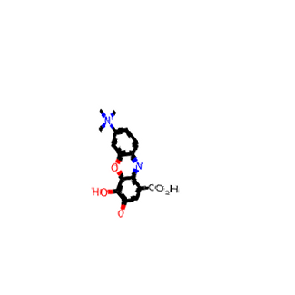 C[N+](C)(C)c1ccc2nc3c(C(=O)O)cc(=O)c(O)c-3oc2c1